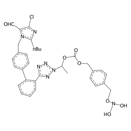 CCCCc1nc(Cl)c(C=O)n1Cc1ccc(-c2ccccc2-c2nnn(C(C)OC(=O)OCc3ccc(CON(O)O)cc3)n2)cc1